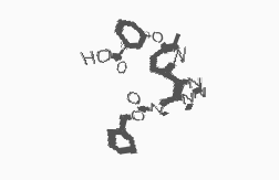 Cc1nc(-c2nnn(C)c2CN(C)C(=O)OCc2ccccc2)ccc1O[C@H]1CCC[C@H](C(=O)O)C1